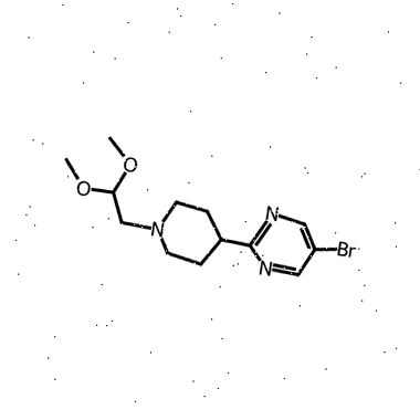 COC(CN1CCC(c2ncc(Br)cn2)CC1)OC